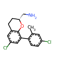 Cc1cc(Cl)ccc1-c1cc(Cl)cc2c1O[C@@H](CN)CC2